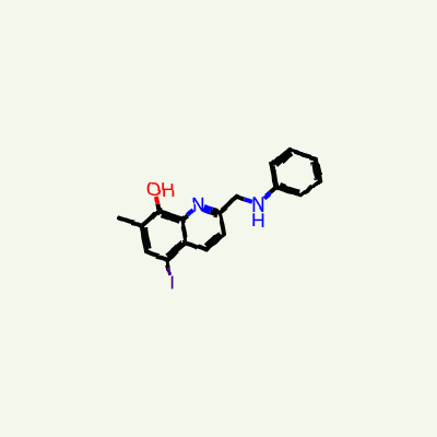 Cc1cc(I)c2ccc(CNc3ccccc3)nc2c1O